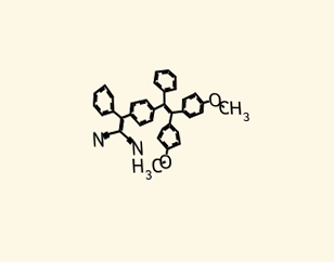 COc1ccc(C(=C(c2ccccc2)c2ccc(C(=C(C#N)C#N)c3ccccc3)cc2)c2ccc(OC)cc2)cc1